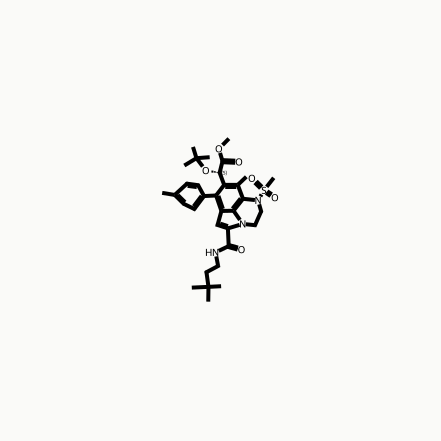 COC(=O)[C@@H](OC(C)(C)C)c1c(C)c2c3c(cc(C(=O)NCCC(C)(C)C)n3CCN2S(C)(=O)=O)c1-c1ccc(C)cc1